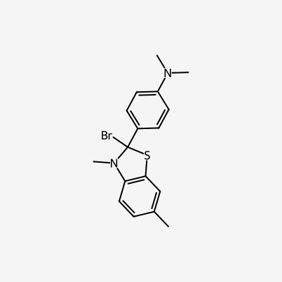 Cc1ccc2c(c1)SC(Br)(c1ccc(N(C)C)cc1)N2C